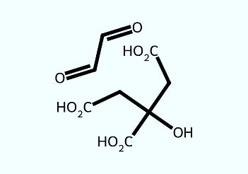 O=C(O)CC(O)(CC(=O)O)C(=O)O.O=CC=O